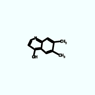 Cc1cc2nccc(O)c2cc1C